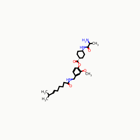 COc1cc(CNC(=O)CCCC/C=C/C(C)C)ccc1OC(=O)[C@H]1CC[C@H](NC(=O)C(C)N)CC1